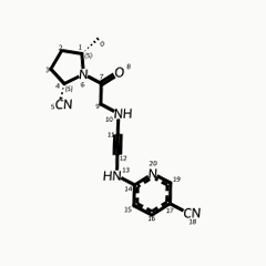 C[C@H]1CC[C@@H](C#N)N1C(=O)CNC#CNc1ccc(C#N)cn1